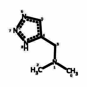 CN(C)Cc1[c]nn[nH]1